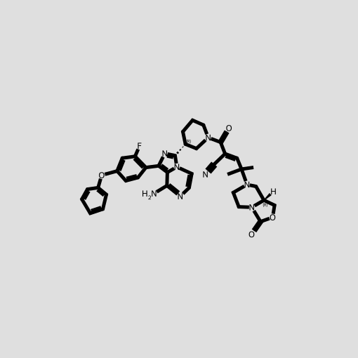 CC(C)(C=C(C#N)C(=O)N1CCC[C@@H](c2nc(-c3ccc(Oc4ccccc4)cc3F)c3c(N)nccn23)C1)N1CCN2C(=O)OC[C@H]2C1